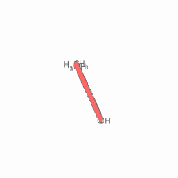 CC(C)(C)OC(=O)NCCOCCOCCOCCOCCOCCOCCOCCOCCOCCOCCOCCOCCOCCOCCOCCOCCOCCOCCOCCOCCOCCOCCOCCOCCC(=O)O